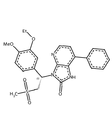 CCOc1cc([C@@H](CS(C)(=O)=O)n2c(=O)[nH]c3c(-c4ccccc4)ccnc32)ccc1OC